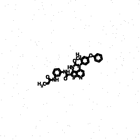 C=CC(=O)Nc1cccc(NC(=O)c2sc3nccc4c3c2NC(=O)N4c2ccc(Oc3ccccc3)cc2C)c1